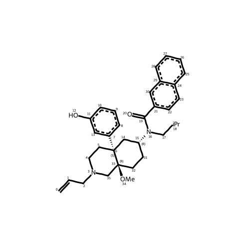 C=CCN1CC[C@@]2(c3cccc(O)c3)C[C@H](N(CC(C)C)C(=O)c3ccc4ccccc4c3)CC[C@]2(OC)C1